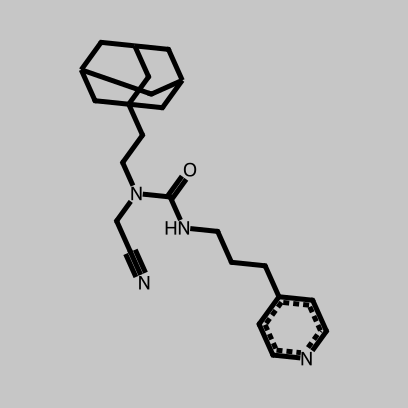 N#CCN(CCC12CC3CC(CC(C3)C1)C2)C(=O)NCCCc1ccncc1